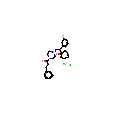 Cl.Cl.O=C(CCc1ccccc1)N1CCN(CC(c2cccc(Cl)c2)C2(O)CCCCC2)CC1